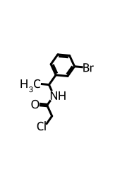 CC(NC(=O)CCl)c1cccc(Br)c1